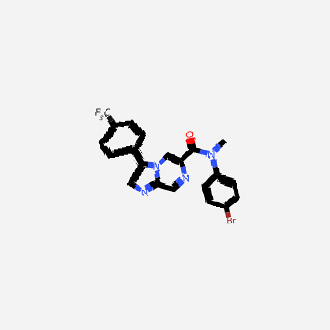 CN(C(=O)c1cn2c(-c3ccc(C(F)(F)F)cc3)cnc2cn1)c1ccc(Br)cc1